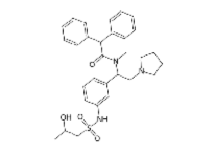 CC(O)CS(=O)(=O)Nc1cccc(C(CN2CCCC2)N(C)C(=O)C(c2ccccc2)c2ccccc2)c1